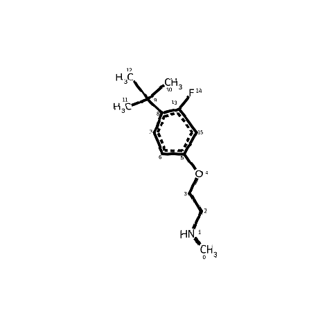 CNCCOc1ccc(C(C)(C)C)c(F)c1